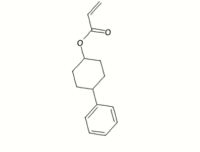 C=CC(=O)OC1CCC(c2ccccc2)CC1